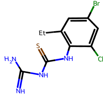 CCc1cc(Br)cc(Cl)c1NC(=S)NC(=N)N